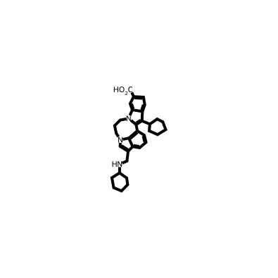 O=C(O)c1ccc2c(C3CCCCC3)c3n(c2c1)CCCn1cc(CNC2CCCCC2)c2cccc-3c21